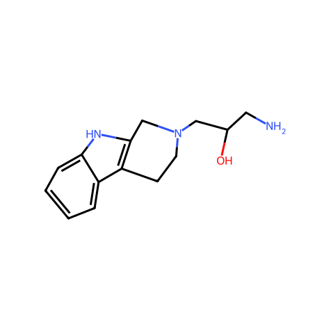 NCC(O)CN1CCc2c([nH]c3ccccc23)C1